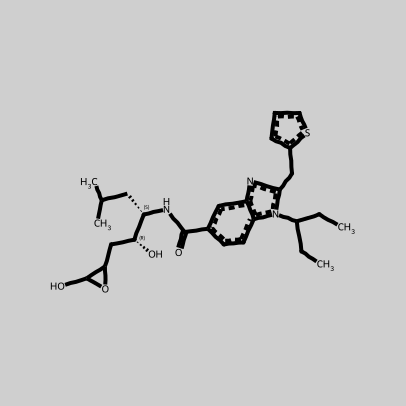 CCC(CC)n1c(Cc2cccs2)nc2cc(C(=O)N[C@@H](CC(C)C)[C@H](O)CC3OC3O)ccc21